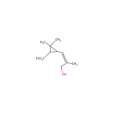 CCOC(=O)C1C(C=C(C)CO)C1(C)C